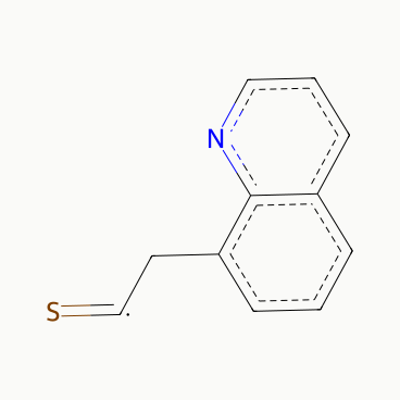 S=[C]Cc1cccc2cccnc12